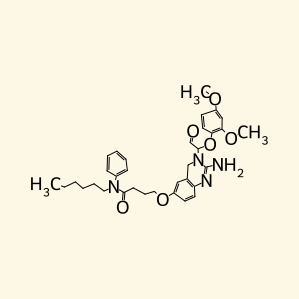 CCCCCCN(C(=O)CCCOc1ccc2c(c1)CN(C(C=O)Oc1ccc(OC)cc1OC)C(N)=N2)c1ccccc1